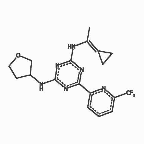 CC(Nc1nc(NC2CCOC2)nc(-c2cccc(C(F)(F)F)n2)n1)=C1CC1